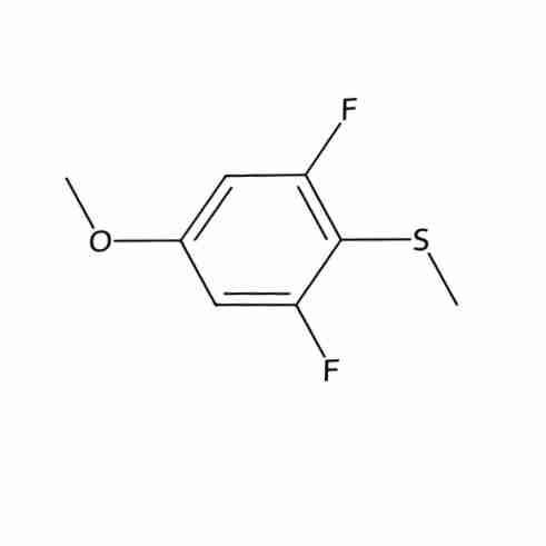 COc1cc(F)c(SC)c(F)c1